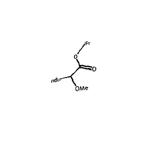 CCCCC(OC)C(=O)OC(C)C